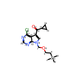 C[Si](C)(C)CCOCn1cc(C(=O)C2CC2)c2c(Cl)ncnc21